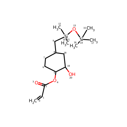 C=CC(=O)OC1CCC(C[Si](C)(C)O[Si](C)(C)C)CC1O